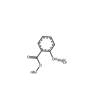 CCCCOC(=O)c1ccccc1O.[Cr].[MgH2]